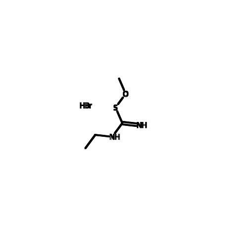 Br.CCNC(=N)SOC